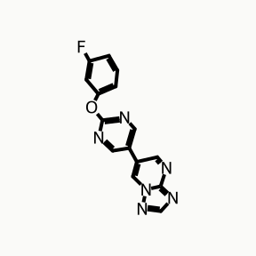 Fc1cccc(Oc2ncc(-c3cnc4ncnn4c3)cn2)c1